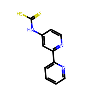 S=C(S)Nc1ccnc(-c2ccccn2)c1